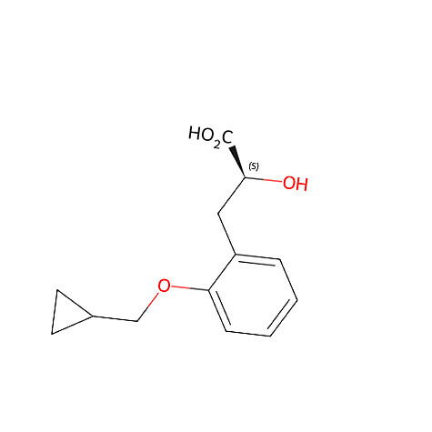 O=C(O)[C@@H](O)Cc1ccccc1OCC1CC1